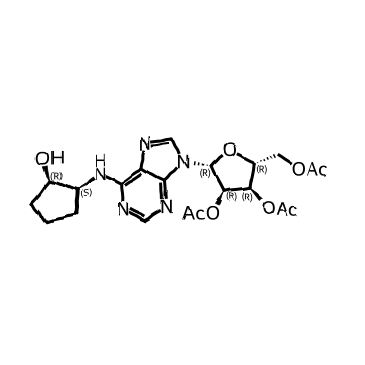 CC(=O)OC[C@H]1O[C@@H](n2cnc3c(N[C@H]4CCC[C@H]4O)ncnc32)[C@H](OC(C)=O)[C@@H]1OC(C)=O